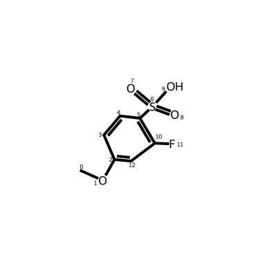 COc1ccc(S(=O)(=O)O)c(F)c1